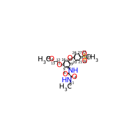 CCNC(=O)C(=O)Nc1cc(OCCOC)cc(Oc2ccc(S(C)(=O)=O)cc2)c1